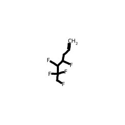 C=CCC(F)C(F)C(F)(F)CF